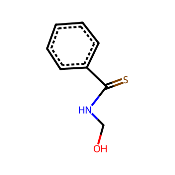 OCNC(=S)c1ccccc1